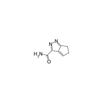 NC(=O)C1=NN=C2CCC=C21